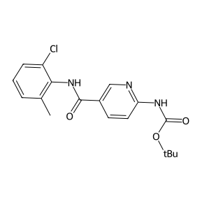 Cc1cccc(Cl)c1NC(=O)c1ccc(NC(=O)OC(C)(C)C)nc1